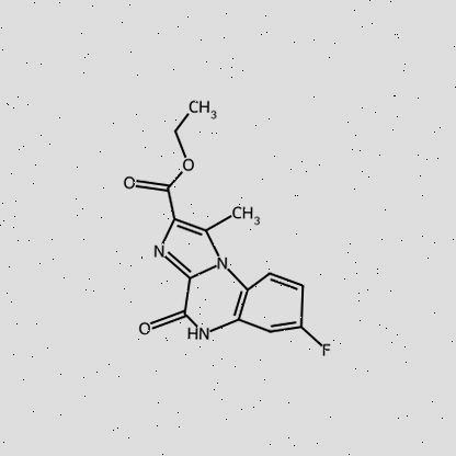 CCOC(=O)c1nc2c(=O)[nH]c3cc(F)ccc3n2c1C